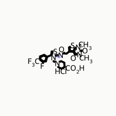 Cl.Cn1c(=O)c2c(CC(=O)/N=c3\scc(-c4ccc(C(F)(F)F)c(F)c4)n3CN3CCC(C(=O)O)CC3)csc2n(C)c1=O